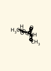 CCCNC(=O)OCCOc1cc(N2CCOCC2)cc(NN=Cc2cccc(C)c2)n1